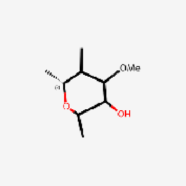 COC1C(O)C(C)O[C@H](C)C1C